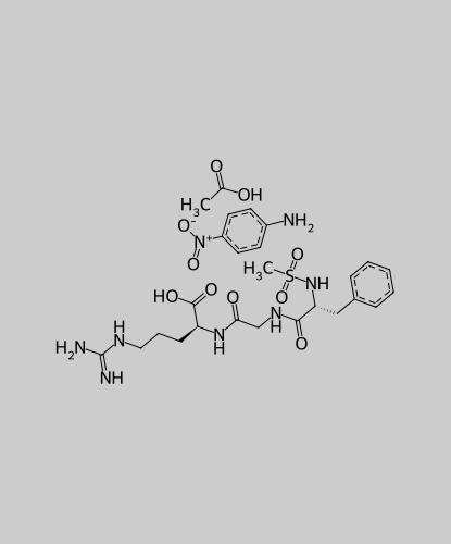 CC(=O)O.CS(=O)(=O)N[C@H](Cc1ccccc1)C(=O)NCC(=O)N[C@@H](CCCNC(=N)N)C(=O)O.Nc1ccc([N+](=O)[O-])cc1